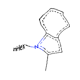 CCCCCCn1c(C)cc2ccccc21